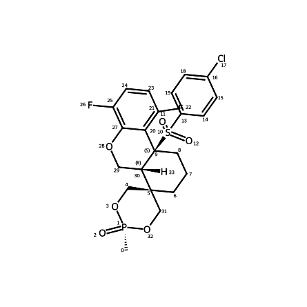 C[P@]1(=O)OC[C@@]2(CCC[C@@]3(S(=O)(=O)c4ccc(Cl)cc4)c4c(F)ccc(F)c4OC[C@@H]23)CO1